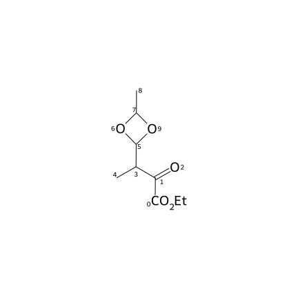 CCOC(=O)C(=O)C(C)C1OC(C)O1